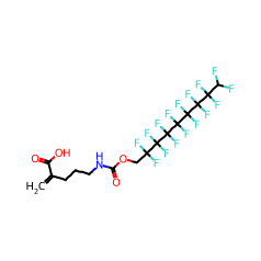 C=C(CCCNC(=O)OCC(F)(F)C(F)(F)C(F)(F)C(F)(F)C(F)(F)C(F)(F)C(F)(F)C(F)F)C(=O)O